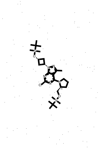 Cc1nn([C@H]2C[C@@H](O[Si](C)(C)C(C)(C)C)C2)c2nc(Cl)nc(N3CCC[C@H]3CO[Si](C)(C)C(C)(C)C)c12